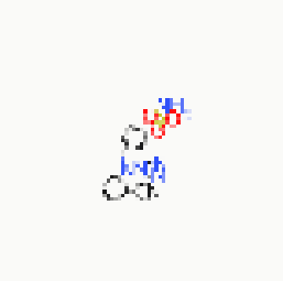 N#Cc1ccccc1N(Cc1ccc(OS(N)(=O)=O)cc1)n1cnnc1